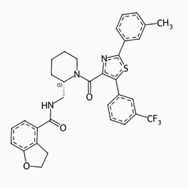 Cc1cccc(-c2nc(C(=O)N3CCCC[C@H]3CNC(=O)c3cccc4c3CCO4)c(-c3cccc(C(F)(F)F)c3)s2)c1